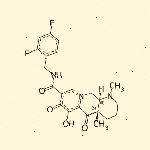 CN1CCC[C@]2(C)C(=O)c3c(O)c(=O)c(C(=O)NCc4ccc(F)cc4F)cn3C[C@H]12